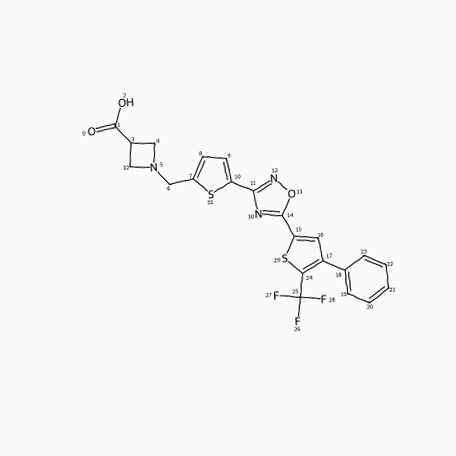 O=C(O)C1CN(Cc2ccc(-c3noc(-c4cc(-c5ccccc5)c(C(F)(F)F)s4)n3)s2)C1